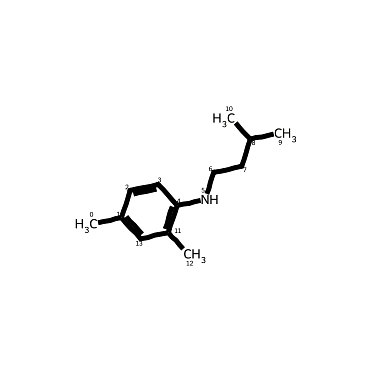 Cc1ccc(NCCC(C)C)c(C)c1